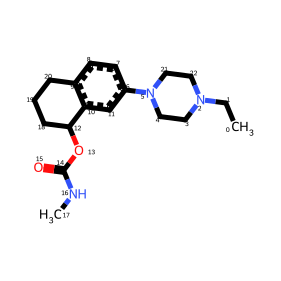 CCN1CCN(c2ccc3c(c2)C(OC(=O)NC)CCC3)CC1